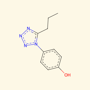 CCCc1nnnn1-c1ccc(O)cc1